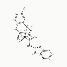 CN1CC[C@]2(C)c3cc(O)ccc3C[C@@H]1[C@@H]2N(C)C(=O)Nc1nc2ccccc2o1